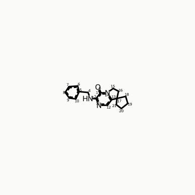 O=c1c(NCc2ccccc2)ncc2n1CCC21CCCC1